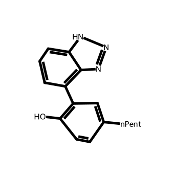 CCCCCc1ccc(O)c(-c2cccc3[nH]nnc23)c1